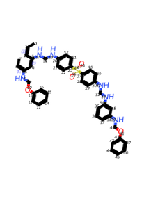 C\C=C/C(=C\C(=C/C)NCOc1ccccc1)NCNc1ccc(S(=O)(=O)c2ccc(NCNc3cccc(NCOc4ccccc4)c3)cc2)cc1